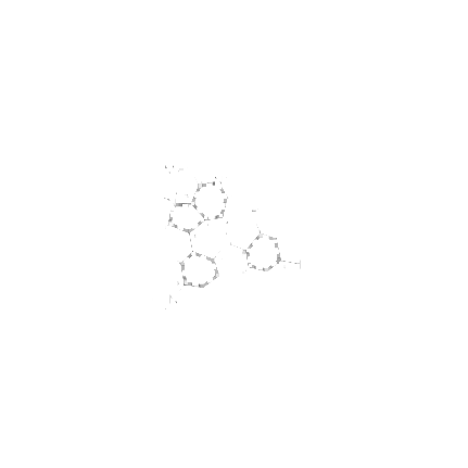 COc1nccc2c(-c3cc([N+](=O)[O-])ccc3Oc3ccc(F)cc3F)cn(C)c12